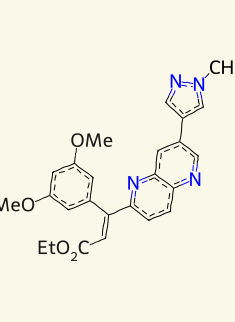 CCOC(=O)/C=C(\c1cc(OC)cc(OC)c1)c1ccc2ncc(-c3cnn(C)c3)cc2n1